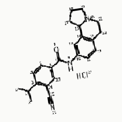 CC(C)c1ccc(C(=O)Nc2ccc3c(c2)C2CCCN2CC3)cc1C#N.Cl